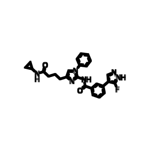 O=C(CCCc1cn(-c2ccccc2)c(NC(=O)c2cccc(-c3cn[nH]c3F)c2)n1)NC1CC1